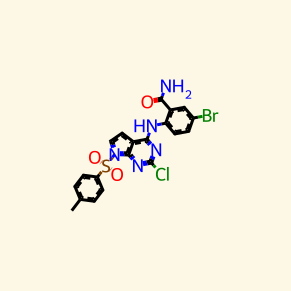 Cc1ccc(S(=O)(=O)n2ccc3c(Nc4ccc(Br)cc4C(N)=O)nc(Cl)nc32)cc1